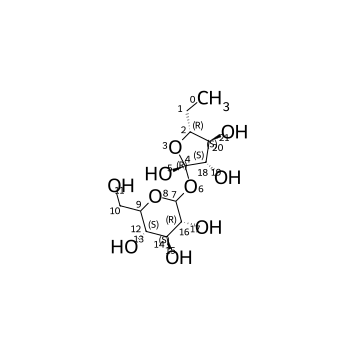 CC[C@H]1O[C@@](O)(OC2OC(CO)[C@@H](O)[C@H](O)[C@H]2O)[C@@H](O)[C@@H]1O